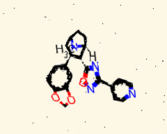 CN1C2CC[C@H]1[C@H](c1nc(-c3ccncc3)no1)[C@@H](c1ccc3c(c1)OCO3)C2